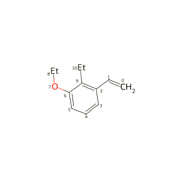 C=[C]c1cccc(OCC)c1CC